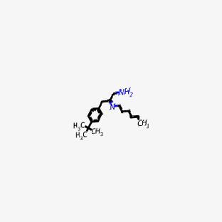 CCCCCCN=C(CN)Cc1ccc(C(C)(C)C)cc1